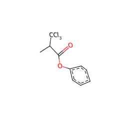 CC(C(=O)Oc1ccccc1)C(Cl)(Cl)Cl